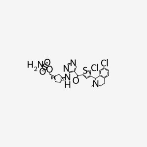 CN1CCc2ccc(Cl)cc2C1c1cc(C(=O)c2cncnc2N[C@H]2CC[C@@H](COS(N)(=O)=O)C2)sc1Cl